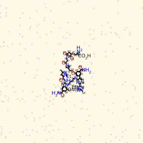 CCn1nc(C)cc1C(=O)Nc1nc2cc(C(N)=O)cc(OC)c2n1C/C=C/Cn1c2nc(-c3nc(C)nn3CC)ncc2c2cc(C(N)=O)cc(OCCC3CN(C(=O)CCN4C(=O)CC(SC[C@H](N)C(=O)O)C4=O)C3)c21